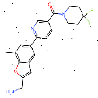 Cc1cc(-c2ccc(C(=O)N3CCC(F)(F)CC3)cn2)cc2cc(CN)oc12